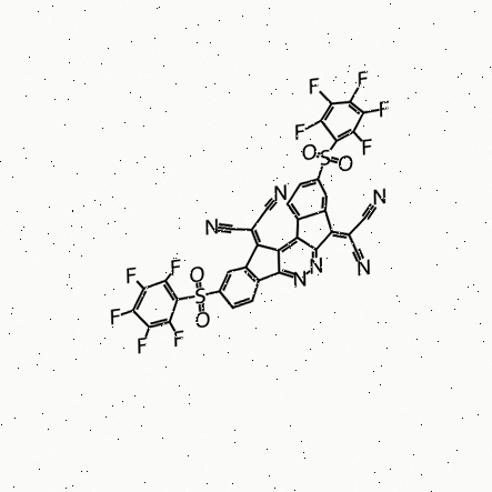 N#CC(C#N)=C1c2cc(S(=O)(=O)c3c(F)c(F)c(F)c(F)c3F)ccc2-c2c1nnc1c2C(=C(C#N)C#N)c2cc(S(=O)(=O)c3c(F)c(F)c(F)c(F)c3F)ccc2-1